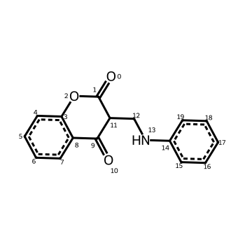 O=C1Oc2ccccc2C(=O)C1CNc1ccccc1